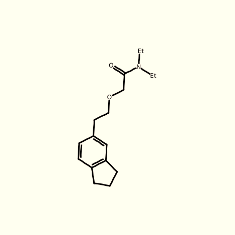 CCN(CC)C(=O)COCCc1ccc2c(c1)CCC2